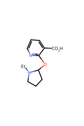 CCN1CCCC1Oc1ncccc1C(=O)O